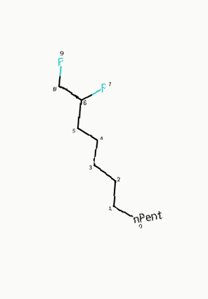 CCCCCCCCCCC(F)CF